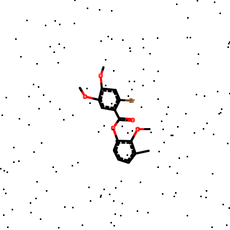 COc1cc(Br)c(C(=O)Oc2cccc(C)c2OC)cc1OC